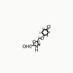 O=CC1NN=C(COc2ccc(Cl)cc2)O1